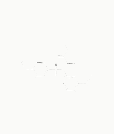 COc1ccc(S(=O)(=O)N(c2cccc([N+](=O)[O-])c2)C(C)C(=O)NO)cc1